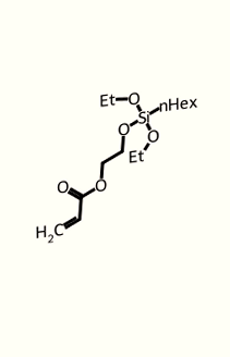 C=CC(=O)OCCO[Si](CCCCCC)(OCC)OCC